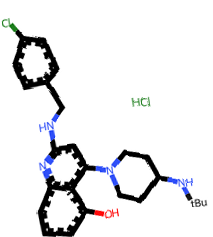 CC(C)(C)NC1CCN(c2cc(NCc3ccc(Cl)cc3)nc3cccc(O)c23)CC1.Cl